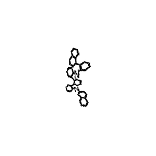 c1ccc(-n2c3ccccc3c3c4c5ccccc5n(-c5ccc6ccccc6c5)c4ccc32)c(-c2cccc3ccccc23)c1